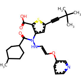 CC1CCC(C(=O)N(N/C=C/Oc2cccnc2)c2cc(C#CC(C)(C)C)sc2C(=O)O)CC1